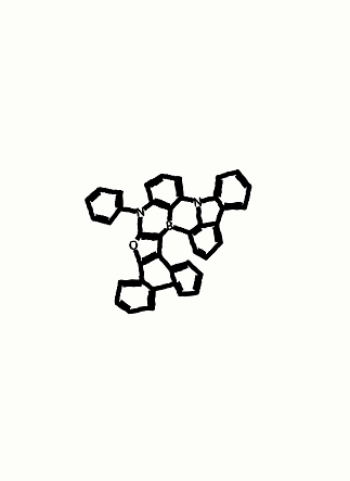 c1ccc(N2c3cccc4c3B(c3c2oc2c5ccccc5c5ccccc5c32)c2cccc3c5ccccc5n-4c23)cc1